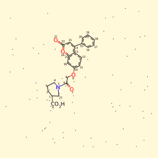 O=C(O)C1CCCN(C(=O)COc2ccc3c(-c4ccccc4)cc(=O)oc3c2)C1